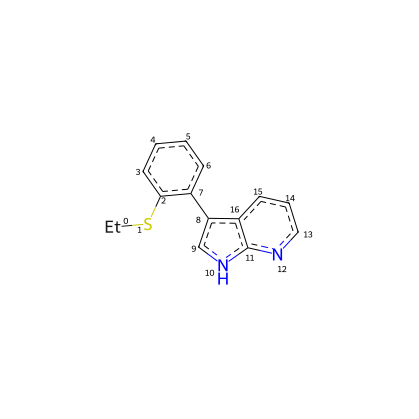 CCSc1ccccc1-c1c[nH]c2ncccc12